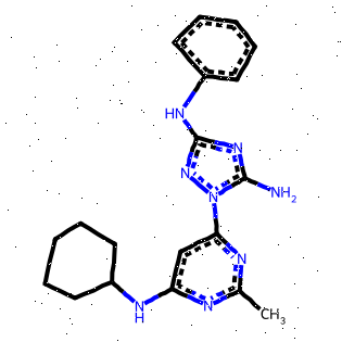 Cc1nc(NC2CCCCC2)cc(-n2nc(Nc3ccccc3)nc2N)n1